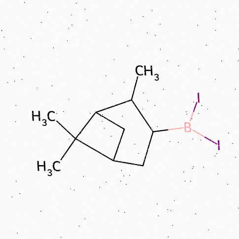 CC1C(B(I)I)CC2CC1C2(C)C